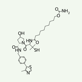 Cc1ncsc1-c1ccc(CNC(=O)[C@@H]2C[C@@H](O)CN2C(=O)[C@@H](NC(=O)CCCCCCCCCOC(N)=O)C(C)(C)S)cc1